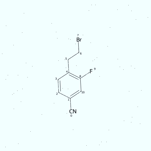 N#Cc1ccc(CCBr)c(F)c1